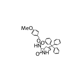 COc1ccc(COC(=O)NC2C(=O)NC2CSC(c2ccccc2)(c2ccccc2)c2ccccc2)cc1